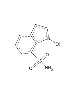 CCn1ccc2cccc(S(N)(=O)=O)c21